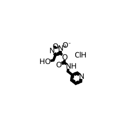 Cl.O=C(NCc1cccnc1)Oc1c(CO)no[n+]1[O-]